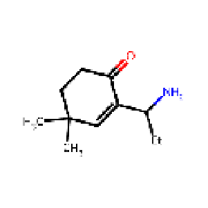 CCC(N)C1=CC(C)(C)CCC1=O